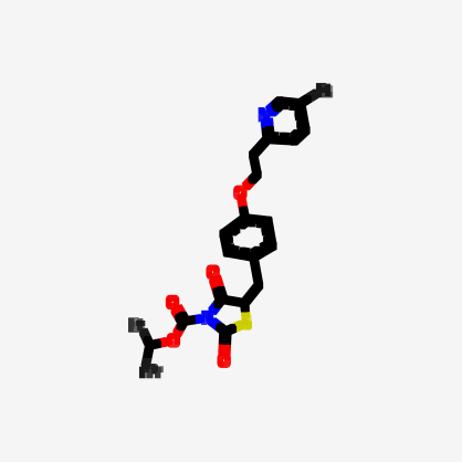 CCCC(CC)OC(=O)N1C(=O)SC(Cc2ccc(OCCc3ccc(CC)cn3)cc2)C1=O